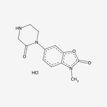 Cl.Cn1c(=O)oc2cc(N3CCNCC3=O)ccc21